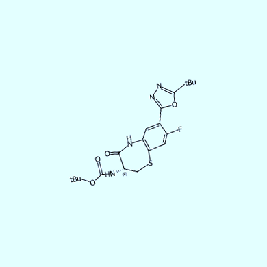 CC(C)(C)OC(=O)N[C@H]1CSc2cc(F)c(-c3nnc(C(C)(C)C)o3)cc2NC1=O